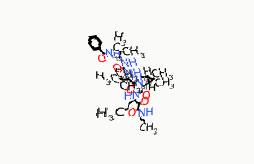 CCCNC(=O)C(=O)C(CCC)NC(=O)[C@@H]1[C@@H]2[C@H](CN1C(=O)[C@@H](NC(=O)N[C@H](CNC(=O)c1ccccc1)C(C)C)C(C)(C)C)C2(C)C